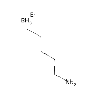 B.CCCCCN.[Er]